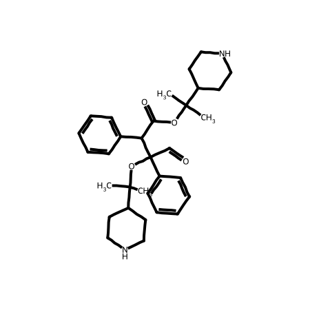 CC(C)(OC(=O)C(c1ccccc1)C(C=O)(OC(C)(C)C1CCNCC1)c1ccccc1)C1CCNCC1